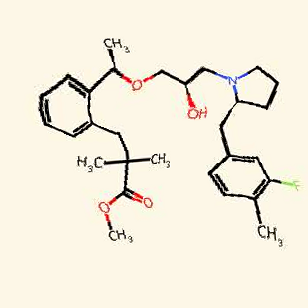 COC(=O)C(C)(C)Cc1ccccc1[C@@H](C)OC[C@H](O)CN1CCC[C@H]1Cc1ccc(C)c(F)c1